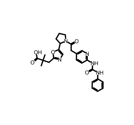 CC(C)(Cc1ncc(C2CCCN2C(=O)Cc2ccc(NC(=O)Nc3ccccc3)nc2)o1)C(=O)O